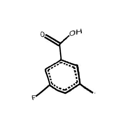 [CH2]c1cc(F)cc(C(=O)O)c1